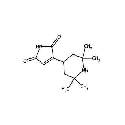 CC1(C)CC(C2=CC(=O)NC2=O)CC(C)(C)N1